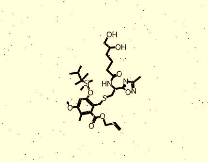 C=CCOC(=O)c1c(C)c(OC)cc(O[Si](C)(C)C(C)(C)C(C)C)c1CSCC(NC(=O)CCCC(O)CO)c1nc(C)no1